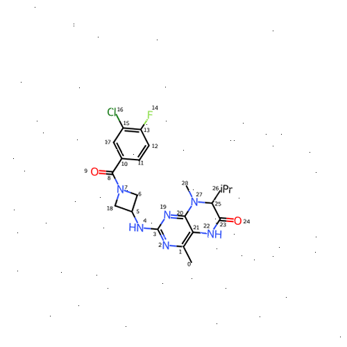 Cc1nc(NC2CN(C(=O)c3ccc(F)c(Cl)c3)C2)nc2c1NC(=O)C(C(C)C)N2C